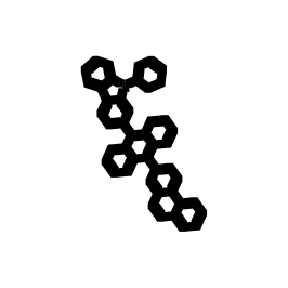 C1=CCCC(n2c3ccccc3c3ccc(-c4c5ccccc5c(-c5ccc6c(ccc7ccccc76)c5)c5ccccc45)cc32)=C1